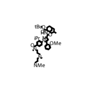 CNCCCN(C)CCCN(C)C(=O)c1ccc(-n2nc(C(=O)NC3(C(=O)OC(C)(C)C)CCC4CC(C)CC3C4)cc2-c2ccccc2OC)c(C(C)C)c1